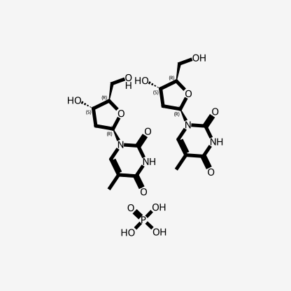 Cc1cn([C@H]2C[C@H](O)[C@@H](CO)O2)c(=O)[nH]c1=O.Cc1cn([C@H]2C[C@H](O)[C@@H](CO)O2)c(=O)[nH]c1=O.O=P(O)(O)O